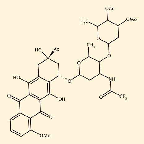 COc1cccc2c1C(=O)c1c(O)c3c(c(O)c1C2=O)C[C@@](O)(C(C)=O)C[C@@H]3OC1CC(NC(=O)C(F)(F)F)C(OC2CC(OC)C(OC(C)=O)C(C)O2)C(C)O1